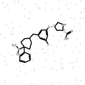 CN(C)C1(c2ccccc2)CCC(Cc2cc(F)cc(O[C@@H]3CN[C@H](C(=O)O)C3)c2)CC1